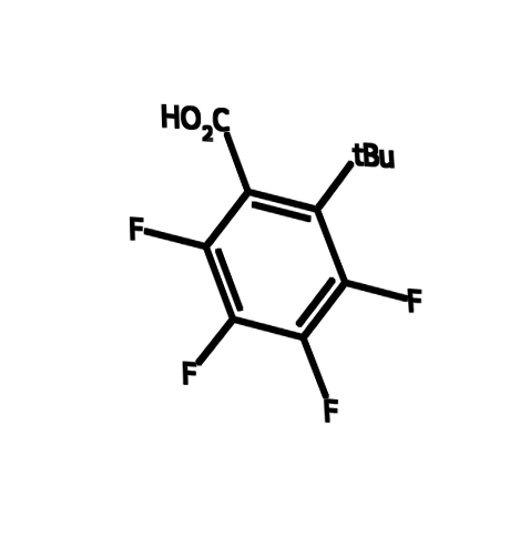 CC(C)(C)c1c(F)c(F)c(F)c(F)c1C(=O)O